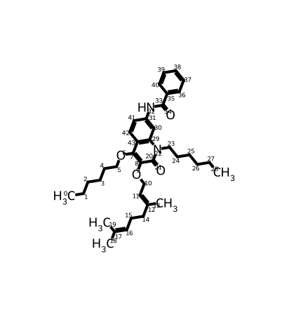 CCCCCCOc1c(OC/C=C(\C)CCC=C(C)C)c(=O)n(CCCCCC)c2cc(NC(=O)c3ccccc3)ccc12